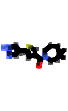 CC1(C)CCCN(C(=O)C2C=C(c3cn[nH]c3)SC2)CC1